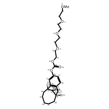 COCCOCCOCCOCCOC(=O)Oc1ccc2c(c1)[C@@]1(C)CCCCC[C@@H](C2)[C@@H]1N